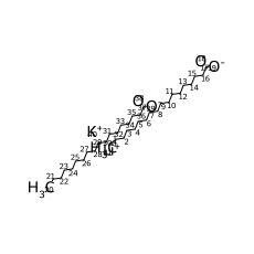 CCCCCCCCCCCCCCCCCC(=O)[O-].CCCCCCCCCCCCCCCCCC(=O)[O-].[K+].[Li+]